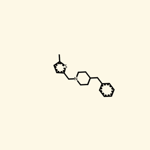 Cc1ccc(CN2CCC(Cc3ccccc3)CC2)s1